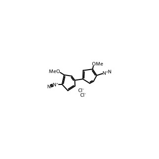 COc1cc(-c2ccc([N+]#N)c(OC)c2)ccc1[N+]#N.[Cl-].[Cl-]